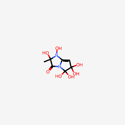 CC1(O)C(=O)N2C(=CC(O)(O)C2(O)O)N1O